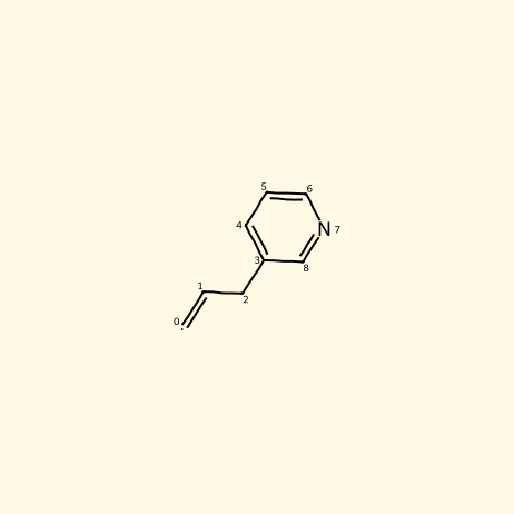 [CH]=CCc1cccnc1